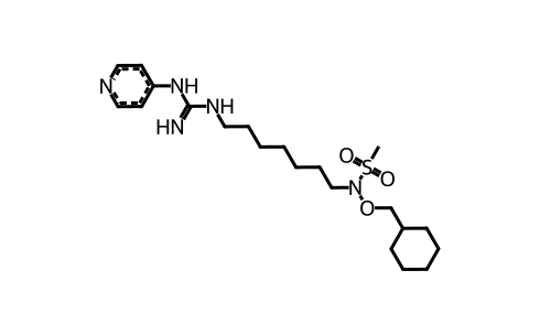 CS(=O)(=O)N(CCCCCCCNC(=N)Nc1ccncc1)OCC1CCCCC1